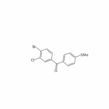 CSc1ccc(C(=O)c2ccc(Br)c(Cl)c2)cc1